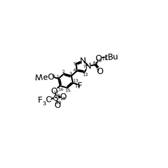 COc1cc(-c2cnn(C(=O)OC(C)(C)C)c2)c(F)cc1OS(=O)(=O)C(F)(F)F